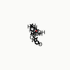 COc1ccc2c(c1)c(C)c(C(=O)O[C@H]1C(C)=C[C@]34C(=O)[C@@H](C=C(CO)[C@@H](O)[C@]13O)[C@H]1[C@@H](C[C@H]4C)C1(C)C)n2C